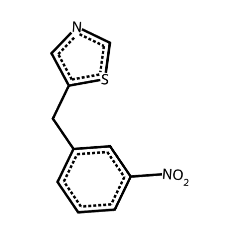 O=[N+]([O-])c1cccc(Cc2cncs2)c1